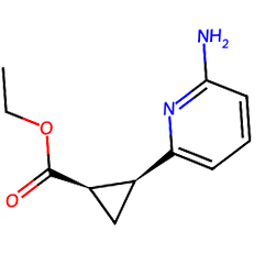 CCOC(=O)[C@@H]1C[C@@H]1c1cccc(N)n1